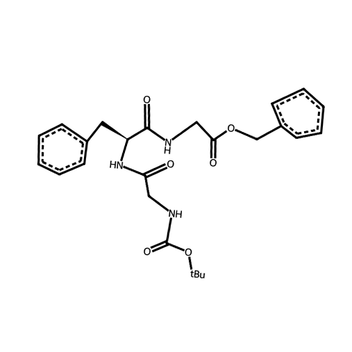 CC(C)(C)OC(=O)NCC(=O)N[C@@H](Cc1ccccc1)C(=O)NCC(=O)OCc1ccccc1